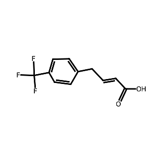 O=C(O)C=CCc1ccc(C(F)(F)F)cc1